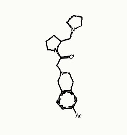 CC(=O)c1ccc2c(c1)CCN(CC(=O)N1CCCC1CN1CCCC1)C2